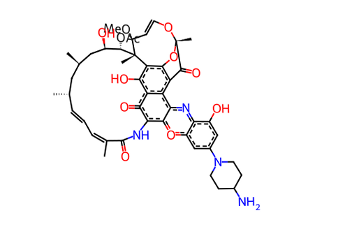 CO[C@H]1/C=C/O[C@@]2(C)Oc3c4c(O)c5c(=O)c(c6oc7cc(N8CCC(N)CC8)cc(O)c7nc-6c5c3C2=O)NC(=O)/C(C)=C\C=C\[C@H](C)C[C@@H](C)C[C@@H](O)[C@H](OC(C)=O)[C@@]41C